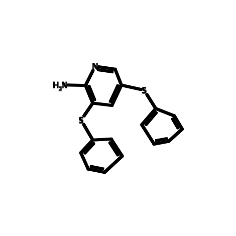 Nc1ncc(Sc2ccccc2)cc1Sc1ccccc1